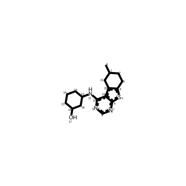 CC1CCc2sc3ncnc(NC4CCCC(O)C4)c3c2C1